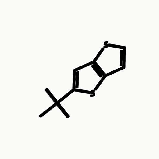 CC(C)(C)c1cc2sccc2s1